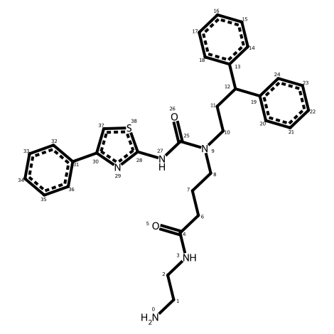 NCCNC(=O)CCCN(CCC(c1ccccc1)c1ccccc1)C(=O)Nc1nc(-c2ccccc2)cs1